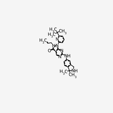 C=CCn1c(=O)c2cnc(Nc3ccc4c(c3)CNC4(C)C)nc2n1-c1cccc(C(C)(C)C)n1